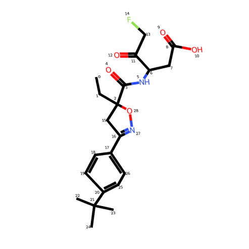 CCC1(C(=O)NC(CC(=O)O)C(=O)CF)CC(c2ccc(C(C)(C)C)cc2)=NO1